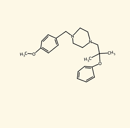 COc1ccc(CN2CCN(CC(C)(C)Oc3ccccc3)CC2)cc1